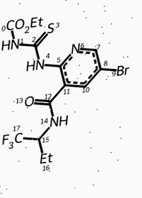 CCOC(=O)NC(=S)Nc1ncc(Br)cc1C(=O)NC(CC)C(F)(F)F